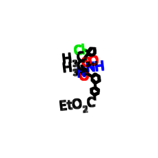 CCOC(=O)Cc1ccc(-c2cccc(-c3onc(C)c3NC(=O)OC(C)c3ccccc3Cl)c2)cc1